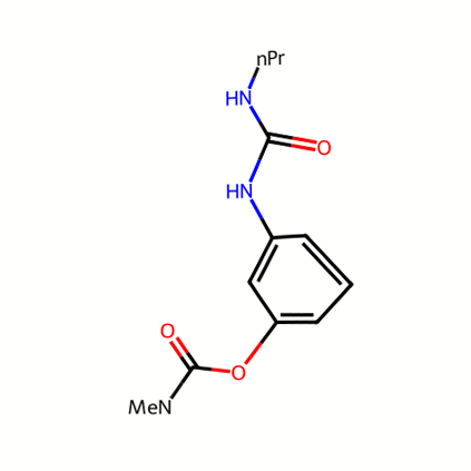 CCCNC(=O)Nc1cccc(OC(=O)NC)c1